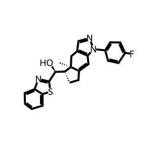 C[C@]12Cc3cnn(-c4ccc(F)cc4)c3C=C1CC[C@@H]2[C@H](O)c1nc2ccccc2s1